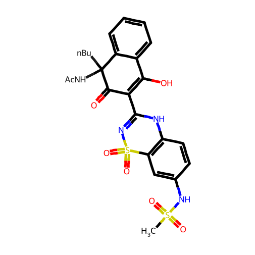 CCCCC1(NC(C)=O)C(=O)C(C2=NS(=O)(=O)c3cc(NS(C)(=O)=O)ccc3N2)=C(O)c2ccccc21